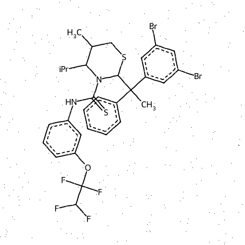 CC(C)C1C(C)CSC(C(C)(c2ccccc2)c2cc(Br)cc(Br)c2)N1C(=S)Nc1cccc(OC(F)(F)C(F)F)c1